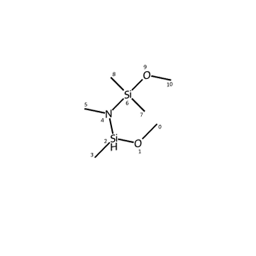 CO[SiH](C)N(C)[Si](C)(C)OC